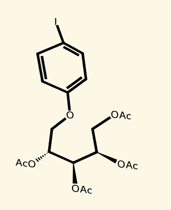 CC(=O)OC[C@@H](OC(C)=O)[C@@H](OC(C)=O)[C@@H](COc1ccc(I)cc1)OC(C)=O